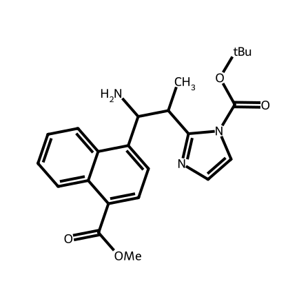 COC(=O)c1ccc(C(N)C(C)c2nccn2C(=O)OC(C)(C)C)c2ccccc12